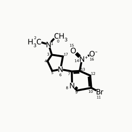 CN(C)C1CCN(c2ncc(Br)cc2[N+](=O)[O-])C1